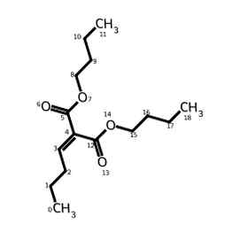 CCCC=C(C(=O)OCCCC)C(=O)OCCCC